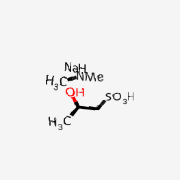 CC(O)CS(=O)(=O)O.CNC.[NaH]